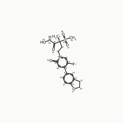 C[C@@](CCn1cc(F)c(-c2ccc3c(c2)CCO3)cc1=O)(C(=O)NO)S(C)(=O)=O